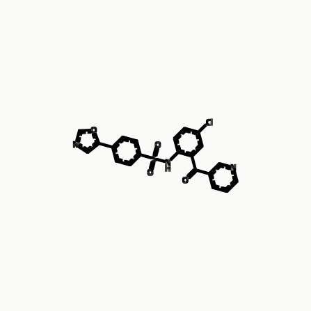 O=C(c1cccnc1)c1cc(Cl)ccc1NS(=O)(=O)c1ccc(-c2cnco2)cc1